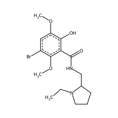 CCN1CCCC1CNC(=O)c1c(O)c(OC)cc(Br)c1OC